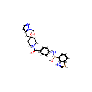 Cn1nccc1CC1(O)CCN(C(=O)c2ccc(N[S+]([O-])c3cccc4scnc34)cc2)CC1